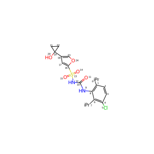 CC(C)c1ccc(Cl)c(C(C)C)c1NC(=O)NS(=O)(=O)c1cc(C2(O)CC2)co1